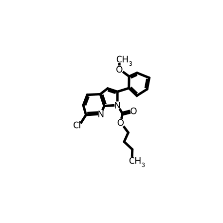 CCCCOC(=O)n1c(-c2ccccc2OC)cc2ccc(Cl)nc21